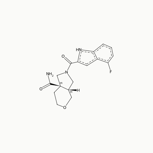 NC(=O)[C@]12CCOC[C@H]1CN(C(=O)c1cc3c(F)cccc3[nH]1)C2